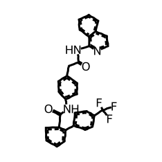 O=C(Cc1ccc(NC(=O)c2ccccc2-c2ccc(C(F)(F)F)cc2)cc1)Nc1nccc2ccccc12